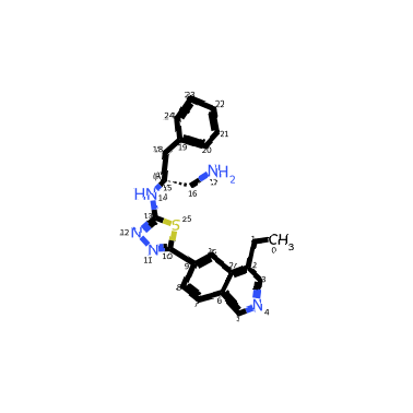 CCc1cncc2ccc(-c3nnc(N[C@@H](CN)Cc4ccccc4)s3)cc12